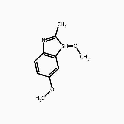 COc1ccc2c(c1)[SH](OC)C(C)=N2